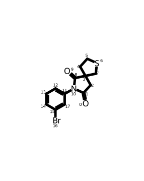 O=C1CC2(CCSC2)C(=O)N1c1cccc(Br)c1